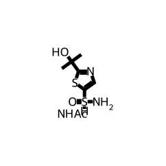 CC(=O)N[SH](N)(=O)c1cnc(C(C)(C)O)s1